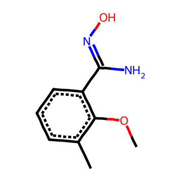 COc1c(C)cccc1/C(N)=N/O